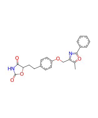 Cc1oc(-c2ccccc2)nc1COc1ccc(CCC2OC(=O)NC2=O)cc1